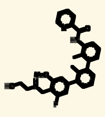 COc1cc(-c2cccc(-c3cccc(NC(=O)c4ccccn4)c3C)c2C)cc(F)c1CNCCO